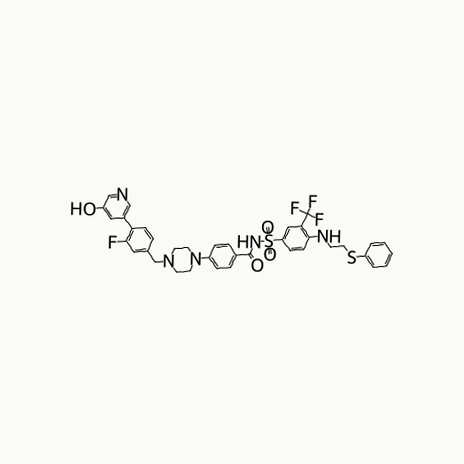 O=C(NS(=O)(=O)c1ccc(NCCSc2ccccc2)c(C(F)(F)F)c1)c1ccc(N2CCN(Cc3ccc(-c4cncc(O)c4)c(F)c3)CC2)cc1